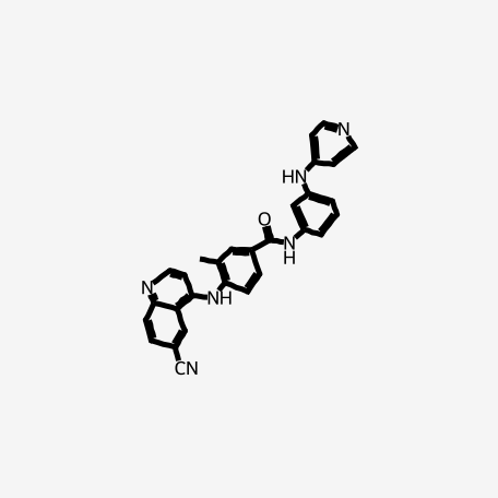 Cc1cc(C(=O)Nc2cccc(Nc3ccncc3)c2)ccc1Nc1ccnc2ccc(C#N)cc12